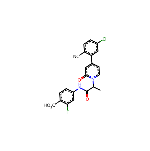 CC(C(=O)Nc1ccc(C(=O)O)c(F)c1)n1ccc(-c2cc(Cl)ccc2C#N)cc1=O